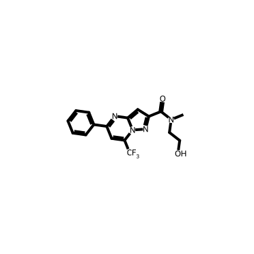 CN(CCO)C(=O)c1cc2nc(-c3ccccc3)cc(C(F)(F)F)n2n1